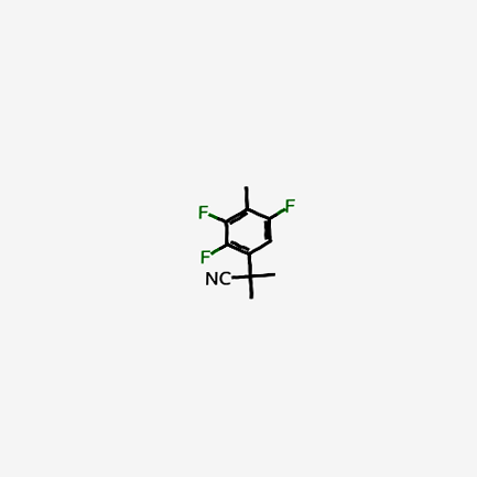 Cc1c(F)cc(C(C)(C)C#N)c(F)c1F